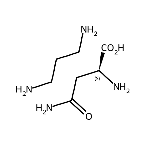 NC(=O)C[C@H](N)C(=O)O.NCCCN